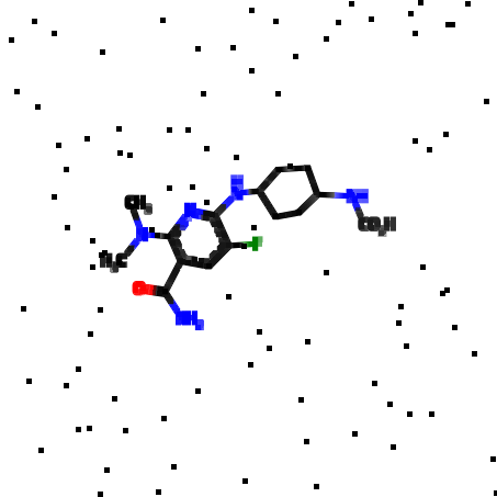 CN(C)c1nc(NC2CCC(NC(=O)O)CC2)c(F)cc1C(N)=O